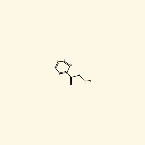 C=C(CSC)c1ccccc1